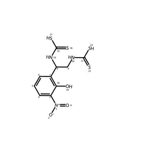 O=[N+]([O-])c1cccc(C(CNC(=S)S)NC(=S)S)c1O